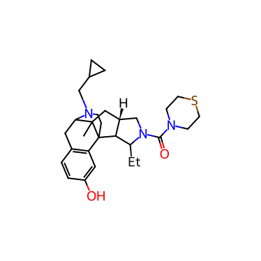 CCC1C2[C@@H](CN1C(=O)N1CCSCC1)CC1(C)C3Cc4ccc(O)cc4C21CCN3CC1CC1